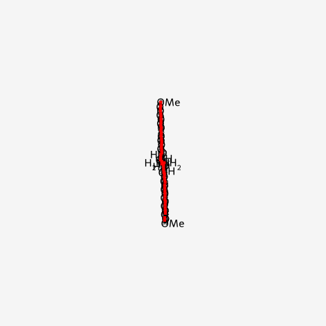 COCCOCCOCCOCCOCCOCCOCCCCCOCCOCCOCCOCCC(=O)NCCNC(=O)c1nc(N)c(C(=O)NCCNC(=O)CCOCCOCCOCCOCCOCCOCCOCCOCCOCCOCCOCCOC)nc1N